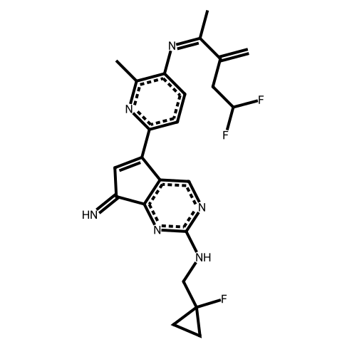 C=C(CC(F)F)/C(C)=N\c1ccc(C2=CC(=N)c3nc(NCC4(F)CC4)ncc32)nc1C